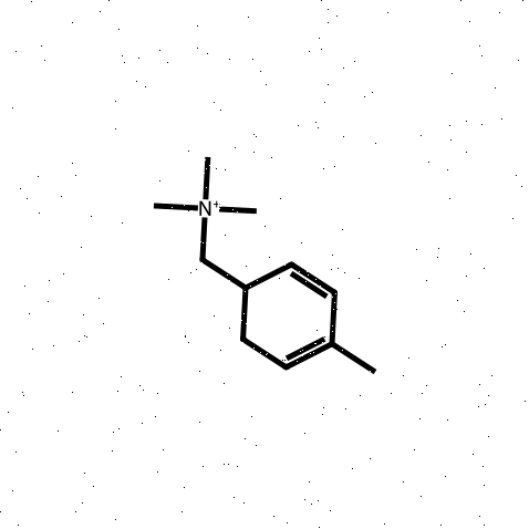 CC1=CCC(C[N+](C)(C)C)C=C1